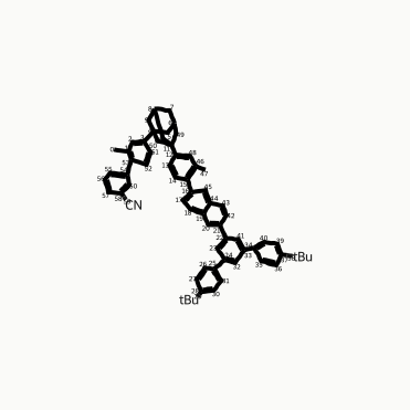 Cc1cc(C23CC4CC(C2)CC(c2ccc(-c5ccc6cc(-c7cc(-c8ccc(C(C)(C)C)cc8)cc(-c8ccc(C(C)(C)C)cc8)c7)ccc6c5)c(C)c2)(C4)C3)ccc1-c1cccc(C#N)c1